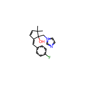 CC1(C)C=CC(=Cc2ccc(F)cc2)C1(O)Cn1ccnc1